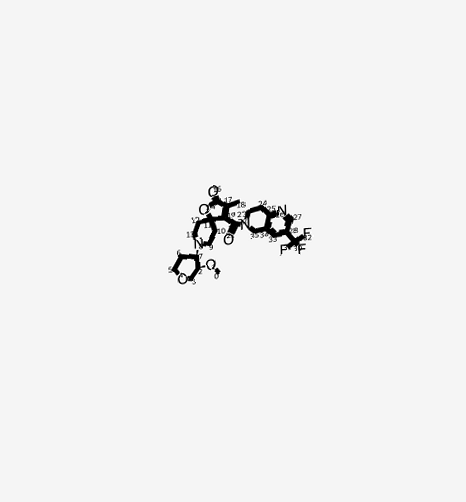 CO[C@@H]1COCC[C@@H]1N1CCC2(CC1)OC(=O)C(C)=C2C(=O)N1CCc2ncc(C(F)(F)F)cc2C1